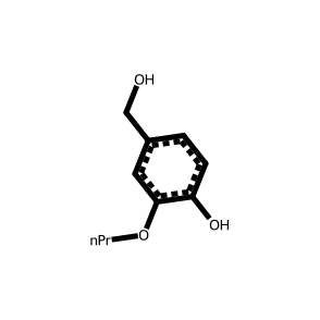 CCCOc1cc(CO)ccc1O